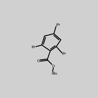 CC(C)c1cc(C(C)C)c(C(=O)OC(C)(C)C)c(C(C)C)c1